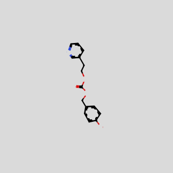 O=C(OCCc1cccnc1)OCc1ccc(O)cc1